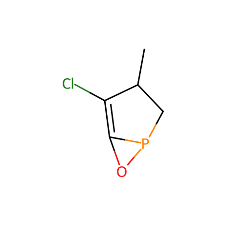 CC1CP2OC2=C1Cl